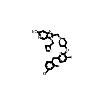 N#Cc1cc2nc(CN3CCC(Oc4nc(Cc5ccc(Cl)cc5F)ccc4F)CC3)n(CC3CCO3)c2cn1